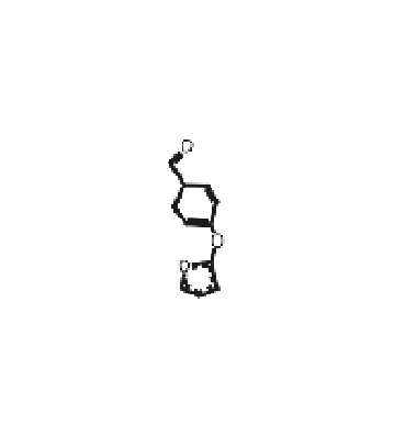 O=CC1C=CC(Oc2ccco2)=CC1